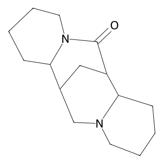 O=C1C2CC(CN3CCCCC23)C2CCCCN12